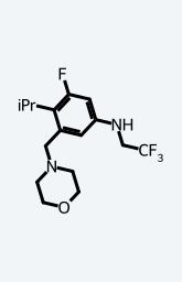 CC(C)c1c(F)cc(NCC(F)(F)F)cc1CN1CCOCC1